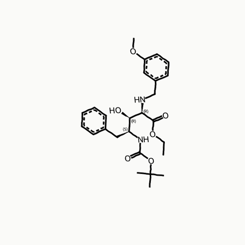 CCOC(=O)[C@H](NCc1cccc(OC)c1)[C@H](O)[C@H](Cc1ccccc1)NC(=O)OC(C)(C)C